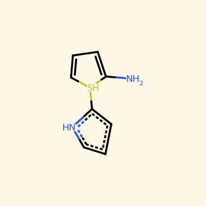 NC1=CC=C[SH]1c1ccc[nH]1